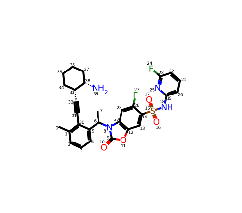 Cc1cccc([C@@H](C)n2c(=O)oc3cc(S(=O)(=O)Nc4cccc(F)n4)c(F)cc32)c1C#C[C@@H]1CCCC[C@@H]1N